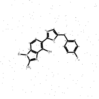 CCn1c(C)nc2c(O)c(-c3ncc(Cc4ccc(F)cc4)o3)ccc21